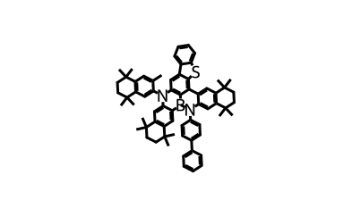 Cc1cc2c(cc1N1c3cc4c(cc3B3c5c1cc1c(sc6ccccc61)c5-c1cc5c(cc1N3c1ccc(-c3ccccc3)cc1)C(C)(C)CCC5(C)C)C(C)(C)CCC4(C)C)C(C)(C)CCC2(C)C